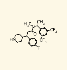 C[C@H](c1cc(C(F)(F)F)cc(C(F)(F)F)c1)N(C)C(=O)CC(c1ccc(F)cc1)C1CCNCC1